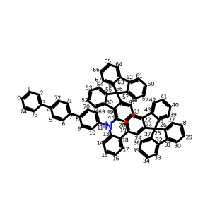 c1ccc(-c2ccc(-c3ccc(N(c4ccccc4-c4ccc5c(c4)C4(c6ccccc6-c6ccccc64)c4ccccc4-5)c4cccc5c4-c4ccccc4C54c5ccccc5-c5ccccc54)cc3)cc2)cc1